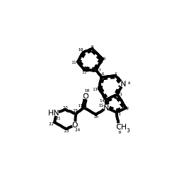 Cc1cc2ncc(-c3ccccc3)cc2n1CC(=O)C1CNCCO1